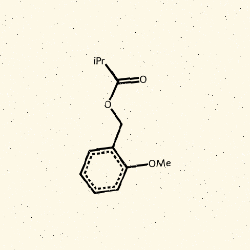 COc1ccccc1COC(=O)C(C)C